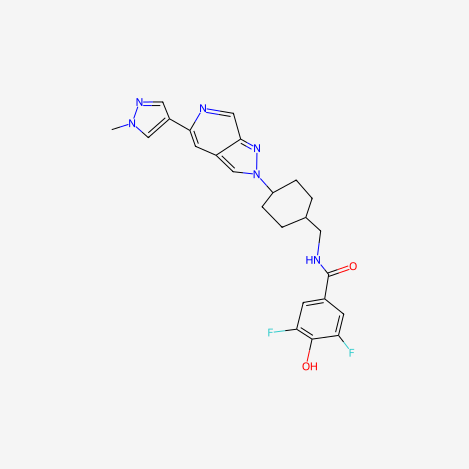 Cn1cc(-c2cc3cn(C4CCC(CNC(=O)c5cc(F)c(O)c(F)c5)CC4)nc3cn2)cn1